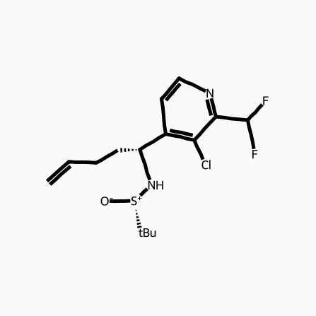 C=CCC[C@@H](N[S@@+]([O-])C(C)(C)C)c1ccnc(C(F)F)c1Cl